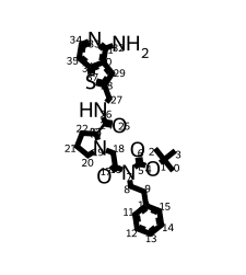 CC(C)(C)OC(=O)N(CCc1ccccc1)C(=O)CN1CCC[C@H]1C(=O)NCc1cc2c(N)nccc2s1